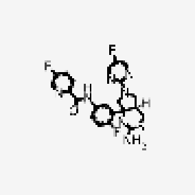 NC1=NC2(c3cc(NC(=O)c4ccc(F)cn4)ccc3F)CN(c3ncc(F)cn3)C[C@H]2CS1